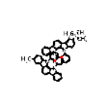 Cc1ccc2c(c1)c1ccc3c4ccccc4n(-c4cccc(-n5c6ccccc6c6ccc7c8cc([Si](C)(C)C)ccc8n(-c8ccccc8)c7c65)n4)c3c1n2-c1ccccc1